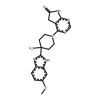 COc1ccc2nc(C3(N)CCN(c4ncnc5c4CC(=O)N5)CC3)[nH]c2c1